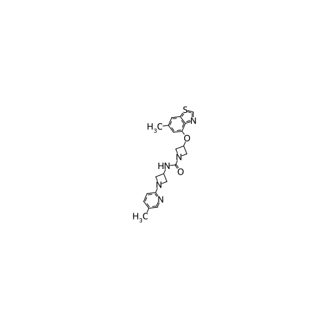 Cc1ccc(N2CC(NC(=O)N3CC(Oc4cc(C)cc5scnc45)C3)C2)nc1